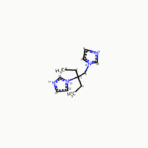 CCC(CC)(Cn1ccnc1)n1ccnc1